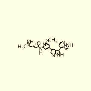 COc1cc(-c2cnc3[nH]cc(-c4ccnc5[nH]ccc45)c3c2)cc(NC(=O)/C=C/CN(C)C)n1